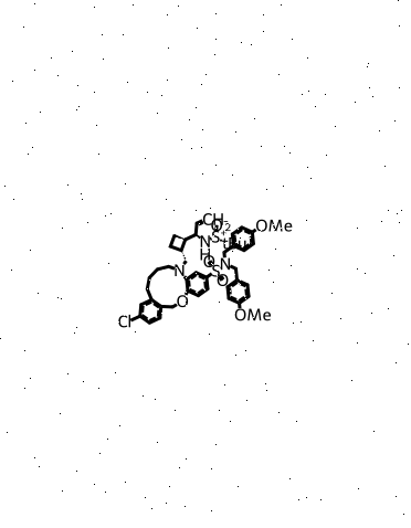 C=C[C@@H](N[S@@+]([O-])C(C)(C)C)[C@@H]1CC[C@H]1CN1CCCCc2cc(Cl)ccc2COc2ccc(S(=O)(=O)N(Cc3ccc(OC)cc3)Cc3ccc(OC)cc3)cc21